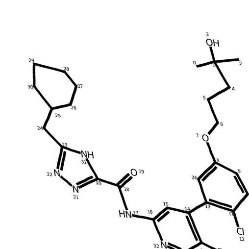 CC(C)(O)CCCOc1ccc(Cl)c(-c2cc(NC(=O)c3nnc(CC4CCCCC4)[nH]3)ncc2F)c1